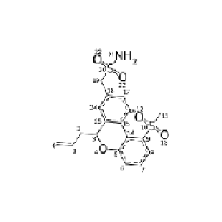 C=CCC1Oc2cccc(S(C)(=O)=O)c2-c2ccc(CS(N)(=O)=O)cc21